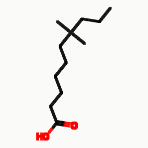 CCCC(C)(C)CCCCCC(=O)O